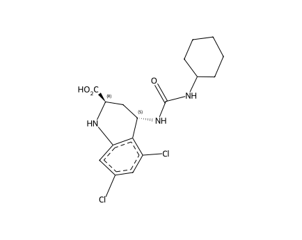 O=C(NC1CCCCC1)N[C@H]1C[C@H](C(=O)O)Nc2cc(Cl)cc(Cl)c21